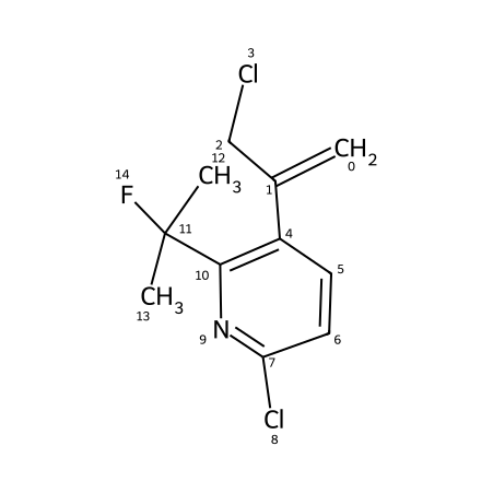 C=C(CCl)c1ccc(Cl)nc1C(C)(C)F